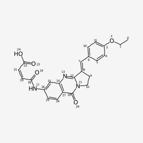 CCOc1ccc(C=C2CCn3c2nc2cc(NC(=O)/C=C\C(=O)O)ccc2c3=O)cc1